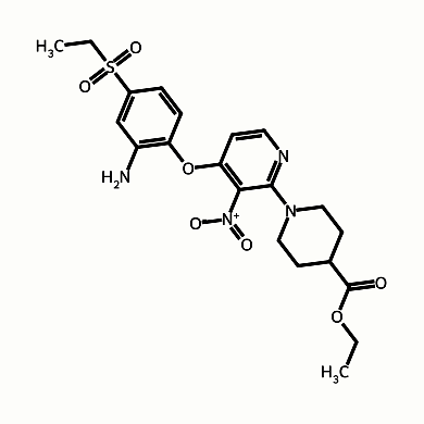 CCOC(=O)C1CCN(c2nccc(Oc3ccc(S(=O)(=O)CC)cc3N)c2[N+](=O)[O-])CC1